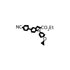 CCOC(=O)c1cc2cc(-c3ccc(C#N)cc3)ccc2n1-c1ccc(OC2CC2)cc1